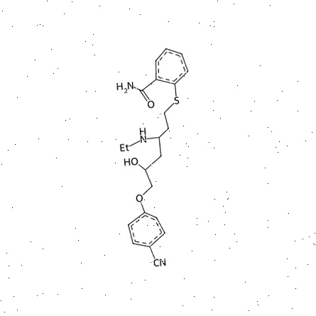 CCNC(CCSc1ccccc1C(N)=O)CC(O)COc1ccc(C#N)cc1